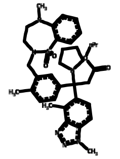 CCCOC(=O)CC(c1ccc(C)c(CN2CCN(C)c3ccccc3S2(=O)=O)c1)(c1ccc2c(nnn2C)c1C)N1CCCC1